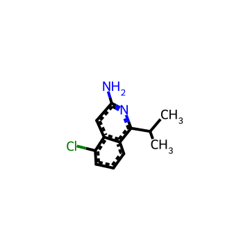 CC(C)c1nc(N)cc2c(Cl)cccc12